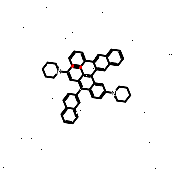 c1ccc(-c2cc3ccccc3cc2-c2c3ccc(N4CCCCC4)cc3c(-c3ccc4ccccc4c3)c3ccc(N4CCCCC4)cc23)cc1